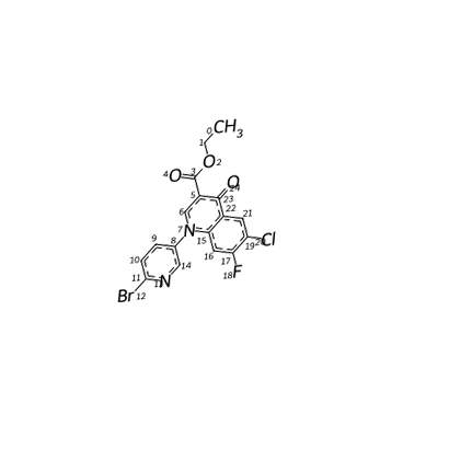 CCOC(=O)c1cn(-c2ccc(Br)nc2)c2cc(F)c(Cl)cc2c1=O